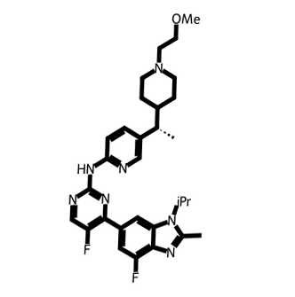 COCCN1CCC([C@H](C)c2ccc(Nc3ncc(F)c(-c4cc(F)c5nc(C)n(C(C)C)c5c4)n3)nc2)CC1